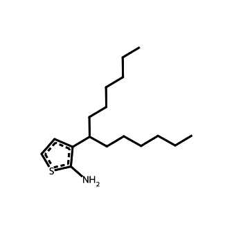 CCCCCCC(CCCCCC)c1ccsc1N